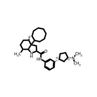 CC1CCC(F)C2(C3CCCCCCC3)CC(C(=O)Nc3cccc([C@@H]4CC[C@H](N(C)C)C4)c3)NC12